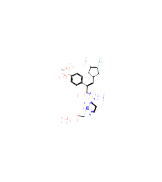 CS(=O)(=O)c1ccc(/C(=C\C2CC(F)C(F)C2)C(=O)Nc2ccn(CCO)n2)cc1